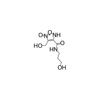 O=C(NCCCO)c1[nH]o[n+](=O)c1CO